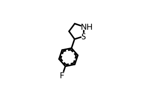 Fc1ccc(C2CCNS2)cc1